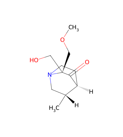 COC[C@@]1(CO)C(=O)[C@H]2CCN1C[C@H]2C